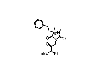 CCCCC(CC)C(=O)CN1C(=O)N(C)[C@@](C)(CCc2ccccc2)C1=O